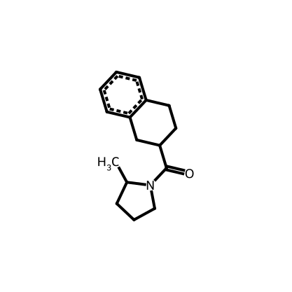 CC1CCCN1C(=O)C1CCc2ccccc2C1